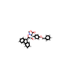 O=C=C(ON1COC(=O)[C@@H]1Cc1ccc(OCc2ccccc2)cc1)C1c2ccccc2-c2ccccc21